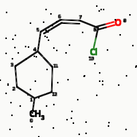 CC1CCC(C=C=CC(=O)Cl)CC1